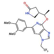 COc1ccc(-c2cc3c(ncn3CC(F)(F)F)c(O[C@H](C)[C@H]3CNC(=O)C3)n2)cc1OC